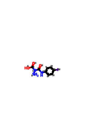 NN(C(=O)O)C(=O)Nc1ccc(I)cc1